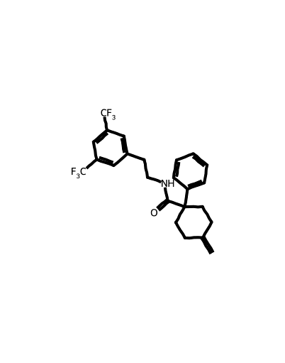 C=C1CCC(C(=O)NCCc2cc(C(F)(F)F)cc(C(F)(F)F)c2)(c2ccccc2)CC1